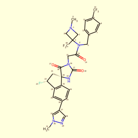 CN1CC(N(Cc2ccc(C(F)(F)F)cc2)C(=O)CN2C(=O)N[C@]3(C[C@@H](F)c4cc(-c5cnn(C)c5)ccc43)C2=O)(C(F)(F)F)C1